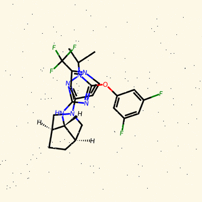 CC(C)n1nc(N[C@@H]2[C@@H]3CC[C@H]2CN(c2ccnc(C(F)(F)F)c2)C3)nc1Oc1cc(F)cc(F)c1